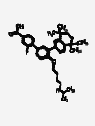 CC(C)NCCCCOc1ccc(-c2ccc(C(=O)O)cc2F)cc1-c1ccc2c(c1)C(C)(C)CCC2(C)C